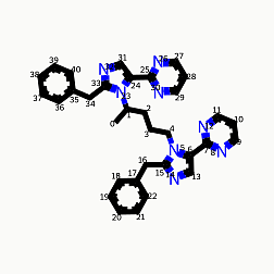 CC(CCCn1c(-c2ncccn2)cnc1Cc1ccccc1)n1c(-c2ncccn2)cnc1Cc1ccccc1